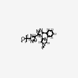 COC(C)(C)c1noc(-c2nnc3n2C2=CN(F)CN2c2ccccc2-3)n1